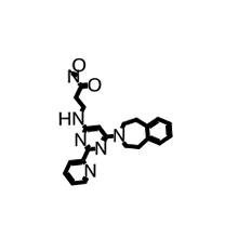 O=NC(=O)CCNc1cc(N2CCc3ccccc3CC2)nc(-c2ccccn2)n1